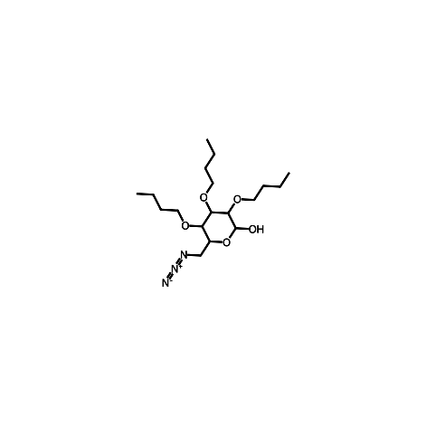 CCCCOC1C(O)OC(CN=[N+]=[N-])C(OCCCC)C1OCCCC